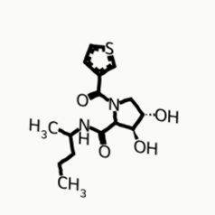 CCCC(C)NC(=O)C1[C@H](O)[C@@H](O)CN1C(=O)c1ccsc1